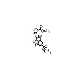 COC(=O)c1cc(F)c(C(=O)[C@@H](Br)C[C@H]2CN(C(=O)OC)CCO2)c(F)c1